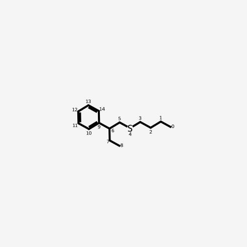 CCCCSCC(CC)c1ccccc1